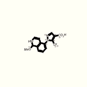 COC1NC=Cc2c1cccc2-n1ncc(C(=O)O)c1C(F)(F)F